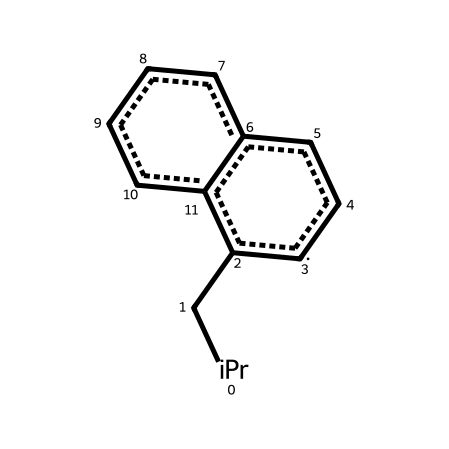 CC(C)Cc1[c]ccc2ccccc12